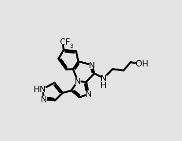 OCCCNc1nc2cc(C(F)(F)F)ccc2n2c(-c3cn[nH]c3)cnc12